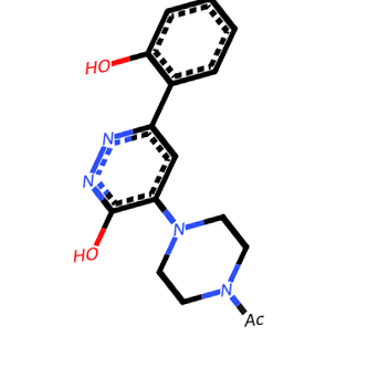 CC(=O)N1CCN(c2cc(-c3ccccc3O)nnc2O)CC1